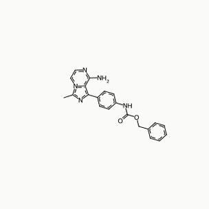 Cc1nc(-c2ccc(NC(=O)OCc3ccccc3)cc2)c2c(N)nccn12